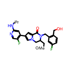 COCC1Cn2cc(-c3cc(NC(C)C)ncc3F)cc2C(=O)N1Cc1cc(F)ccc1CO